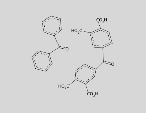 O=C(c1ccc(C(=O)O)c(C(=O)O)c1)c1ccc(C(=O)O)c(C(=O)O)c1.O=C(c1ccccc1)c1ccccc1